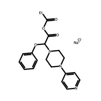 CCC(=O)OC(=O)C(Oc1ccccc1)N1CCN(c2ccncc2)CC1.[Cl-].[Na+]